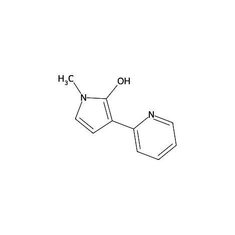 Cn1ccc(-c2ccccn2)c1O